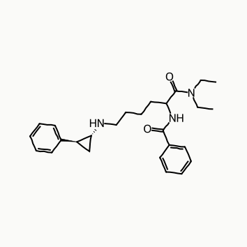 CCN(CC)C(=O)C(CCCCN[C@@H]1C[C@H]1c1ccccc1)NC(=O)c1ccccc1